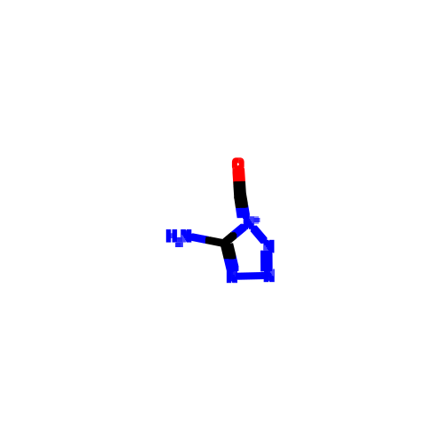 NC1=NN=N[N+]1=C=O